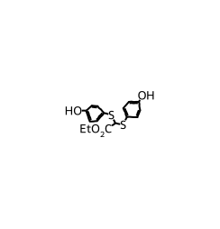 CCOC(=O)C(Sc1ccc(O)cc1)Sc1ccc(O)cc1